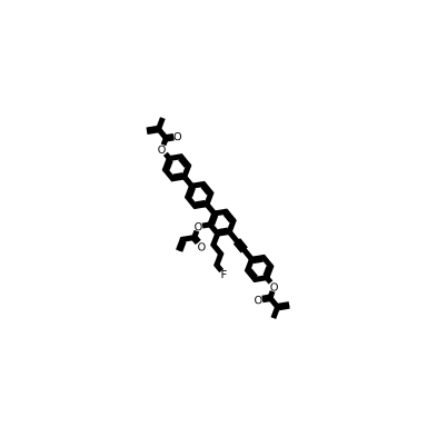 C=CC(=O)Oc1c(-c2ccc(-c3ccc(OC(=O)C(=C)C)cc3)cc2)ccc(C#Cc2ccc(OC(=O)C(=C)C)cc2)c1CCCF